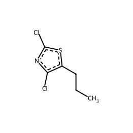 CCCc1sc(Cl)nc1Cl